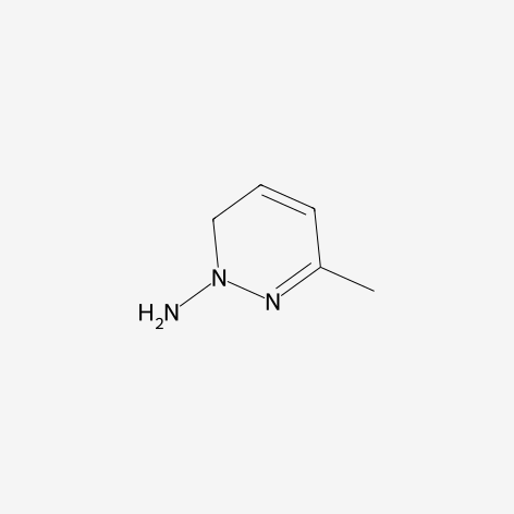 CC1=NN(N)CC=C1